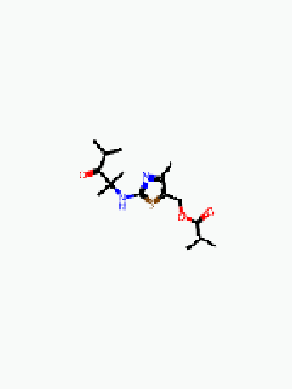 Cc1nc(NC(C)(C)C(=O)C(C)C)sc1COC(=O)C(C)C